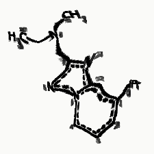 CC(C)c1cccn2nc(N(C)C)nc12